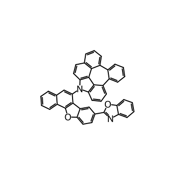 c1ccc2c(c1)-c1cccc3ccc4c(c13)c1c-2cccc1n4-c1cc2ccccc2c2oc3ccc(-c4nc5ccccc5o4)cc3c12